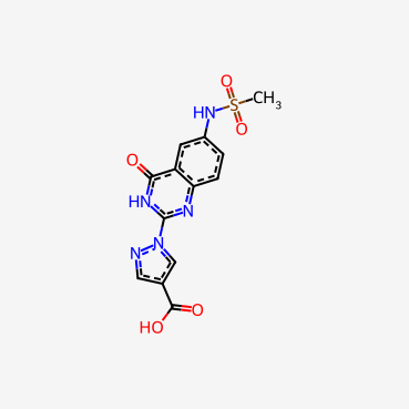 CS(=O)(=O)Nc1ccc2nc(-n3cc(C(=O)O)cn3)[nH]c(=O)c2c1